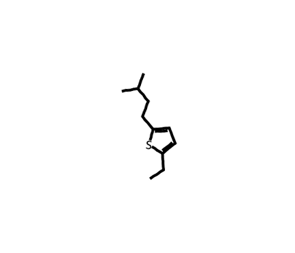 CCc1ccc(CCC(C)C)s1